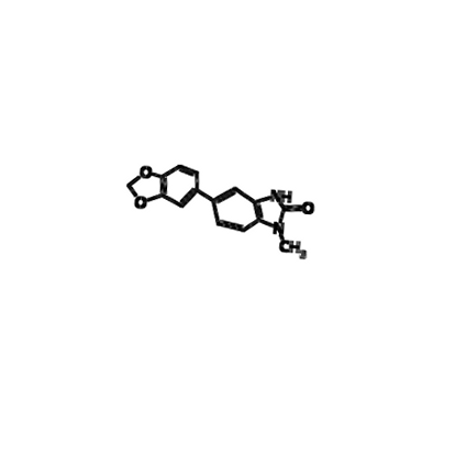 Cn1c(=O)[nH]c2cc(-c3ccc4c(c3)OCO4)ccc21